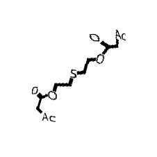 CC(=O)CC(=O)OCCSCCOC(=O)CC(C)=O